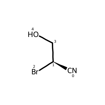 N#C[C@@H](Br)CO